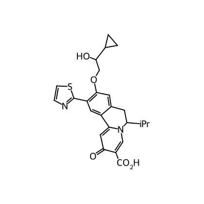 CC(C)C1Cc2cc(OCC(O)C3CC3)c(-c3nccs3)cc2-c2cc(=O)c(C(=O)O)cn21